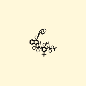 COc1c(NC(=O)OC(C)C)cc(C(C)(C)C)cc1[AsH]C(=O)C(=O)c1ccc(OCCN2CCOCC2)c2ccccc12